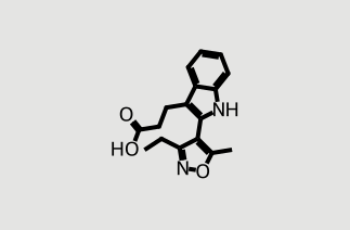 CCc1noc(C)c1-c1[nH]c2ccccc2c1CCC(=O)O